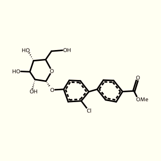 COC(=O)c1ccc(-c2ccc(O[C@H]3OC(CO)[C@@H](O)C(O)[C@H]3O)cc2Cl)cc1